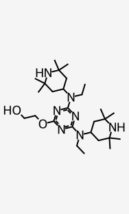 CCN(c1nc(OCCO)nc(N(CC)C2CC(C)(C)NC(C)(C)C2)n1)C1CC(C)(C)NC(C)(C)C1